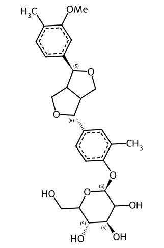 COc1cc([C@H]2OCC3C2CO[C@H]3c2ccc(O[C@@H]3OC(CO)[C@@H](O)[C@H](O)C3O)c(C)c2)ccc1C